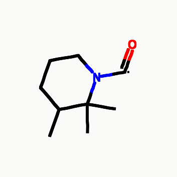 CC1CCCN([C]=O)C1(C)C